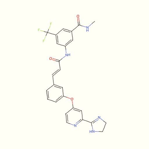 CNC(=O)c1cc(NC(=O)C=Cc2cccc(Oc3ccnc(C4=NCCN4)c3)c2)cc(C(F)(F)F)c1